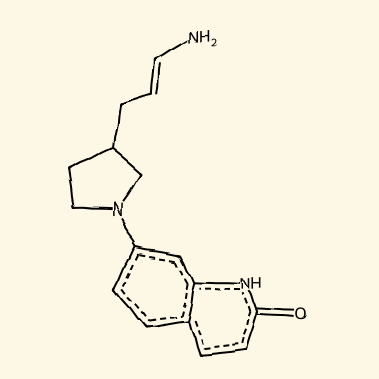 NC=CCC1CCN(c2ccc3ccc(=O)[nH]c3c2)C1